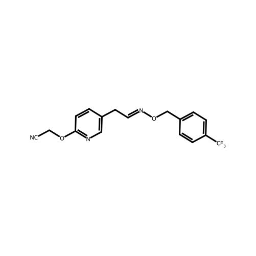 N#CCOc1ccc(CC=NOCc2ccc(C(F)(F)F)cc2)cn1